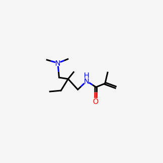 C=C(C)C(=O)NCC(C)(CC)CN(C)C